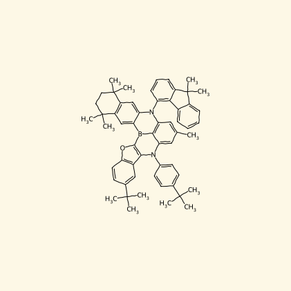 Cc1cc2c3c(c1)N(c1ccc(C(C)(C)C)cc1)c1c(oc4ccc(C(C)(C)C)cc14)B3c1cc3c(cc1N2c1cccc2c1-c1ccccc1C2(C)C)C(C)(C)CCC3(C)C